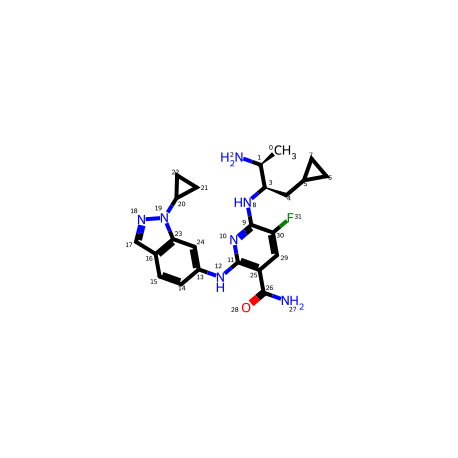 C[C@H](N)[C@@H](CC1CC1)Nc1nc(Nc2ccc3cnn(C4CC4)c3c2)c(C(N)=O)cc1F